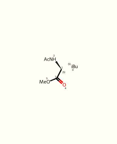 CC[C@H](C)[C@H](NC(C)=O)C(=O)OC